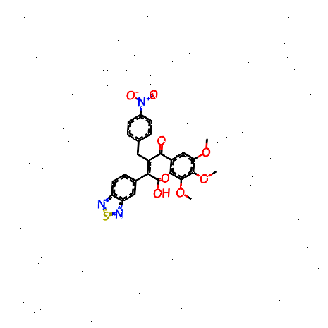 COc1cc(C(=O)C(Cc2ccc([N+](=O)[O-])cc2)=C(C(=O)O)c2ccc3nsnc3c2)cc(OC)c1OC